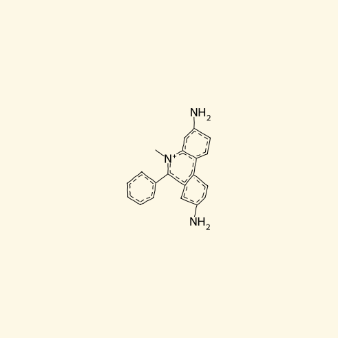 C[n+]1c(-c2ccccc2)c2cc(N)ccc2c2ccc(N)cc21